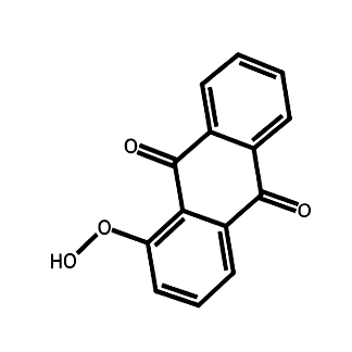 O=C1c2ccccc2C(=O)c2c(OO)cccc21